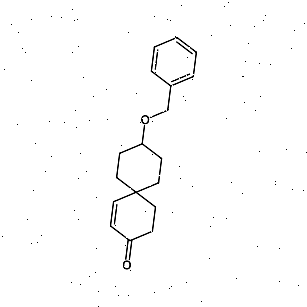 O=C1C=CC2(CC1)CCC(OCc1ccccc1)CC2